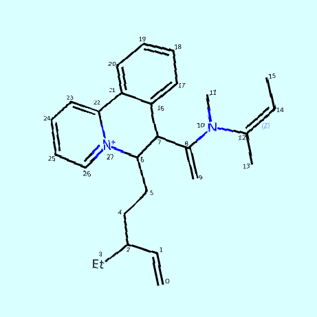 C=CC(CC)CCC1C(C(=C)N(C)/C(C)=C\C)c2ccccc2-c2cccc[n+]21